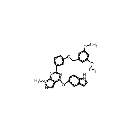 COc1cc(COc2cccc(-c3nc(Oc4ccc5[nH]ccc5c4)c4cnn(C)c4n3)c2)cc(OC)c1